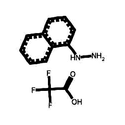 NNc1cccc2ccccc12.O=C(O)C(F)(F)F